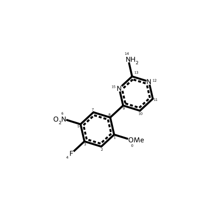 COc1cc(F)c([N+](=O)[O-])cc1-c1ccnc(N)n1